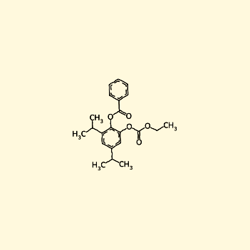 CCOC(=O)Oc1cc(C(C)C)cc(C(C)C)c1OC(=O)c1ccccc1